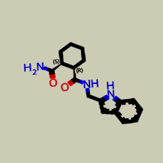 NC(=O)[C@H]1CCCC[C@H]1C(=O)NCc1cc2ccccc2[nH]1